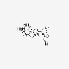 CC1(C)CC[C@]2(C(=O)CC#N)CC[C@]3(C)C(=CCC4[C@@]5(C)Cc6c(n[nH]c6N)C(C)(C)C5CC[C@]43C)C2C1